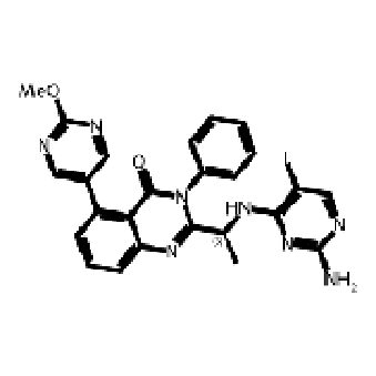 COc1ncc(-c2cccc3nc([C@H](C)Nc4nc(N)ncc4I)n(-c4ccccc4)c(=O)c23)cn1